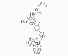 C=CCOC(=O)NOC(C)(C(=O)OC(C)(C)C)[C@H]1CCc2cc(-c3cnn(C[C@H](CNC(=O)OC(C)(C)C)O[Si](C)(C)C(C)(C)C)c3)ccc2O1